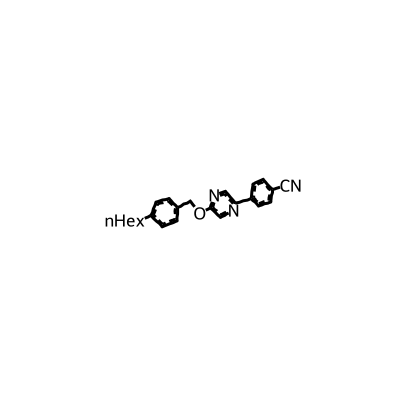 CCCCCCc1ccc(COc2cnc(-c3ccc(C#N)cc3)cn2)cc1